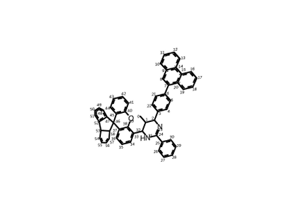 CC1C(c2ccc(-c3cc4ccccc4c4ccccc34)cc2)N=C(c2ccccc2)NC1c1cccc2c1Oc1ccccc1C21c2ccccc2C2C=CC=CC21